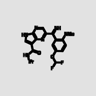 CNc1ccc(OC(F)F)cc1C(=N)c1cnc2[nH]cc(C(=O)NC(C)C)c2n1